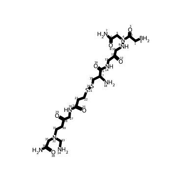 BCC(=O)N(CC(N)=O)NCC(=O)CNC(=O)C(N)CSSCCC(=O)NCC(=O)CCN(CN)CC(N)=O